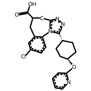 O=C(O)C1Cc2cc(Cl)ccc2-n2c(nnc2[C@H]2CC[C@H](Oc3ccccn3)CC2)C1